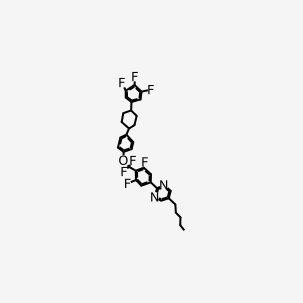 CCCCCc1cnc(-c2cc(F)c(C(F)(F)Oc3ccc(C4CCC(c5cc(F)c(F)c(F)c5)CC4)cc3)c(F)c2)nc1